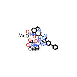 COC(=O)N[C@H]1CCc2ccn3c2C1C(=O)C[C@H](c1ncc(C2(c4cnc([C@@H]5CCCN5C(=O)C5(NC(=O)OC)COC5)[nH]4)C=CC(c4ccccc4)=CC2)[nH]1)C3